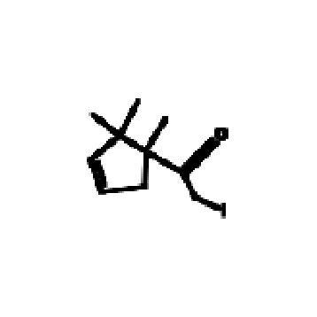 CC1(C)C=CCC1(C)C(=O)CI